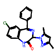 Cc1cc(C)n(C2N=C(c3ccccc3)c3cc(Cl)ccc3NC2=O)n1